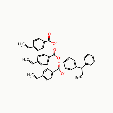 C=Cc1ccc(C(=O)[O-])cc1.C=Cc1ccc(C(=O)[O-])cc1.C=Cc1ccc(C(=O)[O-])cc1.[Sn+3][CH2]C(c1ccccc1)c1ccccc1